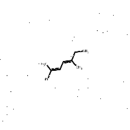 C/C(=C\C=C(/C)C(C)C)CN